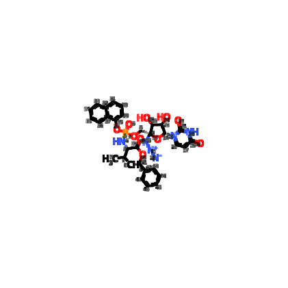 CC(C)[C@H](NP(=O)(OC[C@@]1(N=[N+]=[N-])O[C@@H](n2ccc(=O)[nH]c2=O)[C@H](O)[C@@H]1O)Oc1cccc2ccccc12)C(=O)OCc1ccccc1